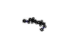 O=C(/C=C/c1ccccc1)c1cccc(N2C(=O)c3ccc(Oc4ccc5c(c4)C(=O)N(c4cccc(C(=O)/C=C/c6ccccc6)c4)C5=O)cc3C2=O)c1